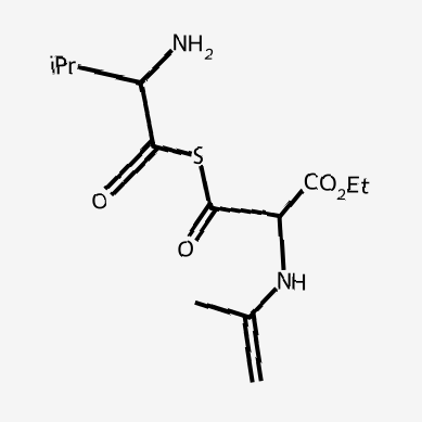 C=C(C)NC(C(=O)OCC)C(=O)SC(=O)C(N)C(C)C